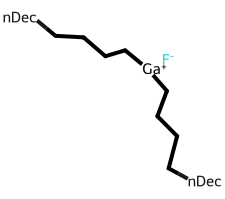 CCCCCCCCCCCCC[CH2][Ga+][CH2]CCCCCCCCCCCCC.[F-]